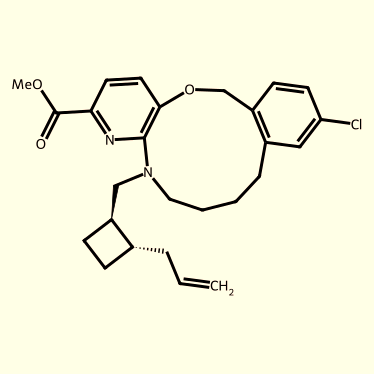 C=CC[C@@H]1CC[C@H]1CN1CCCCc2cc(Cl)ccc2COc2ccc(C(=O)OC)nc21